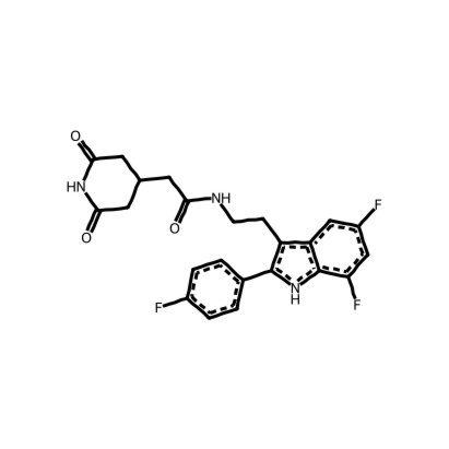 O=C(CC1CC(=O)NC(=O)C1)NCCc1c(-c2ccc(F)cc2)[nH]c2c(F)cc(F)cc12